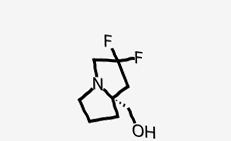 OC[C@]12CCCN1CC(F)(F)C2